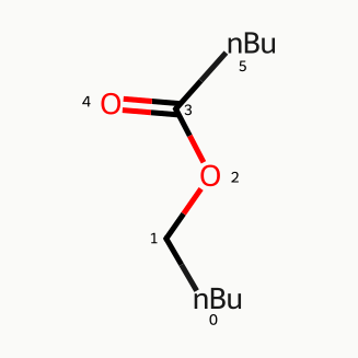 [CH2]CCCCOC(=O)CCCC